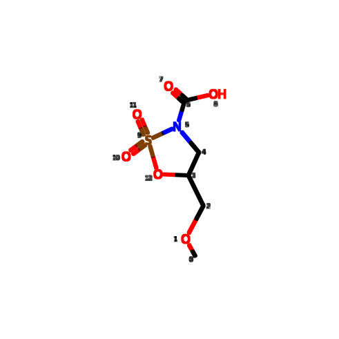 COCC1CN(C(=O)O)S(=O)(=O)O1